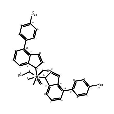 [CH2]=[Hf]([CH3])([CH3])([CH2]C(C)C)([CH2]C(C)C)([CH]1C=Cc2c(-c3ccc(C(C)(C)C)cc3)cccc21)[CH]1C=Cc2c(-c3ccc(C(C)(C)C)cc3)cccc21